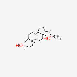 C[C@@H](C1CCC2C3CCC4CC(C)(O)CCC4(C)C3CCC21C)[C@H](O)C(F)(F)F